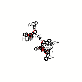 Nc1nnc(-c2ccccc2O)cc1N1CC2CCC(C1)N2c1ccnc(C#CCN2CC(CO)(c3cccc(-c4cccc(-c5cc(N6CC7CCC(C6)N7c6ccnc(C#CCN7CC8(CC(Oc9ccccc9-c9cc(N%10CC%11CCC(C%10)N%11c%10ccnc(C#CCN%11CC%12(C%11)C(CF)CCS%12(=O)=O)c%10)c(N)nn9)CO8)C7)c6)c(N)nn5)c4O)c3)C2)c1